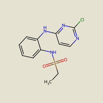 CCS(=O)(=O)Nc1ccccc1Nc1ccnc(Cl)n1